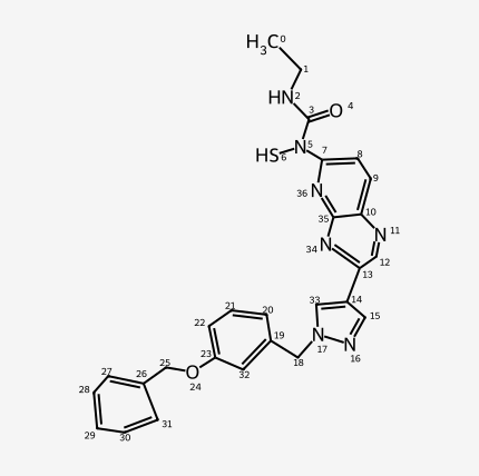 CCNC(=O)N(S)c1ccc2ncc(-c3cnn(Cc4cccc(OCc5ccccc5)c4)c3)nc2n1